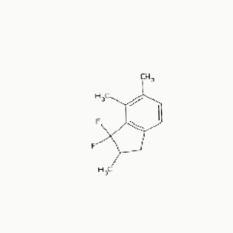 Cc1ccc2c(c1C)C(F)(F)C(C)C2